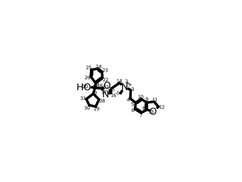 C[N+](C)(CCc1ccc2c(c1)CCO2)Cc1cnc(C(O)(c2ccccc2)C2CCCC2)o1